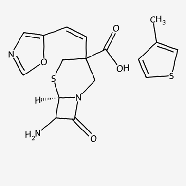 Cc1ccsc1.NC1C(=O)N2CC(/C=C\c3cnco3)(C(=O)O)CS[C@H]12